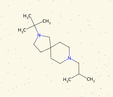 CC(C)CN1CCC2(CC1)CCN(C(C)(C)C)C2